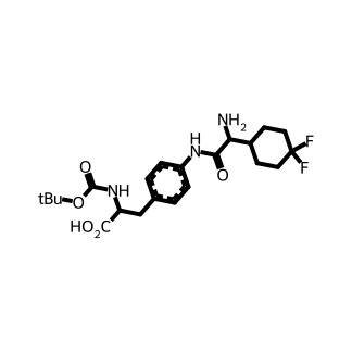 CC(C)(C)OC(=O)NC(Cc1ccc(NC(=O)C(N)C2CCC(F)(F)CC2)cc1)C(=O)O